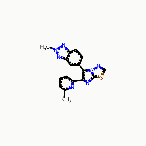 Cc1cccc(-c2nc3scnn3c2-c2ccc3nn(C)nc3c2)n1